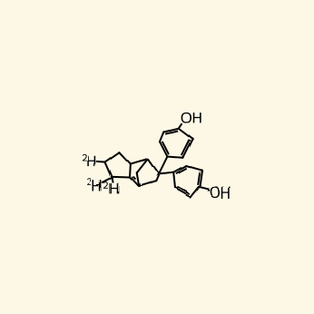 [2H]C1CC2C(=C3CC2C(c2ccc(O)cc2)(c2ccc(O)cc2)C3)C1([2H])[2H]